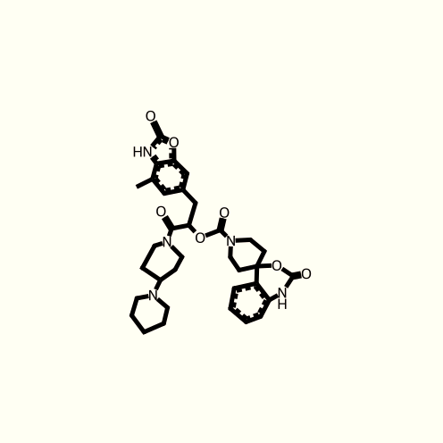 Cc1cc(CC(OC(=O)N2CCC3(CC2)OC(=O)Nc2ccccc23)C(=O)N2CCC(N3CCCCC3)CC2)cc2oc(=O)[nH]c12